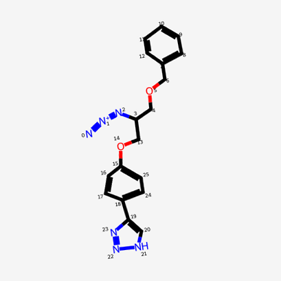 [N-]=[N+]=NC(COCc1ccccc1)COc1ccc(-c2c[nH]nn2)cc1